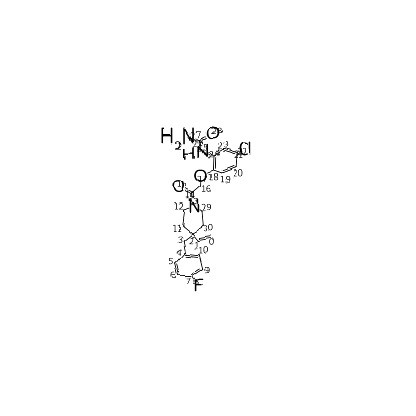 C=CC1(Cc2ccc(F)cc2)CCN(C(=O)COc2ccc(Cl)cc2NC(N)=O)CC1